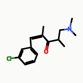 CC(=Cc1cccc(Cl)c1)C(=O)C(C)CN(C)C